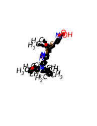 CCCCCCC1(CCCCCC)c2sc(-c3ccc(/C=C(\C#N)C(=O)O)cc3)cc2-c2cc(-c3ccc(-c4ccc(N(c5ccc6c(c5)C(C)(C)c5cc(C)cc(C)c5-6)c5ccc6c(c5)C(C)(C)c5cc(C)cc(C)c5-6)cc4)c4nsnc34)sc21